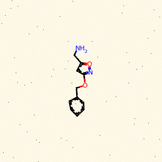 NCc1cc(OCc2ccccc2)no1